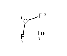 FOF.[Lu]